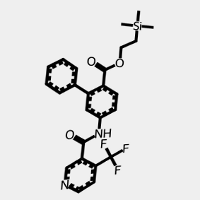 C[Si](C)(C)CCOC(=O)c1ccc(NC(=O)c2cnccc2C(F)(F)F)cc1-c1ccccc1